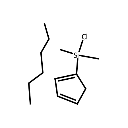 CCCCCC.C[Si](C)(Cl)C1=CC=CC1